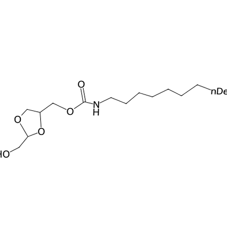 CCCCCCCCCCCCCCCCCNC(=O)OCC1COC(CO)O1